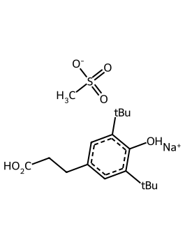 CC(C)(C)c1cc(CCC(=O)O)cc(C(C)(C)C)c1O.CS(=O)(=O)[O-].[Na+]